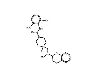 CC[N+]1(CC(O)C2COc3ccccc3O2)CCN(C(=O)Nc2c(C)cccc2C)CC1